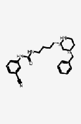 N#Cc1cccc(NC(=O)NCCCC[C@H]2C[C@H](Cc3ccccc3)CCN2)c1